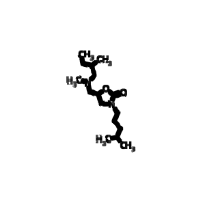 CCC(C)CN(C)CC1CN(CCCC(C)C)C(=O)O1